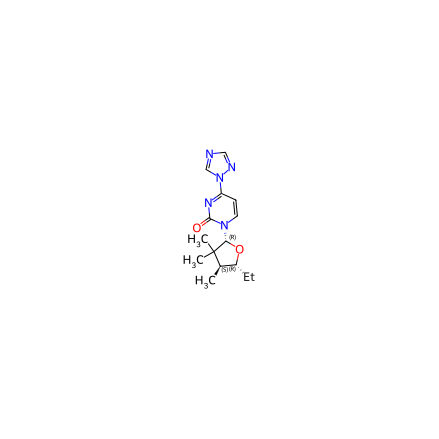 CC[C@H]1O[C@@H](n2ccc(-n3cncn3)nc2=O)C(C)(C)[C@@H]1C